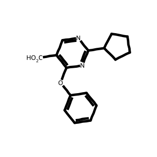 O=C(O)c1cnc(C2CCCC2)nc1Oc1ccccc1